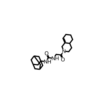 O=C(NCC(=O)N1CCC2CCCC=C2C1)NC12CC3CC(CC(C3)C1)C2